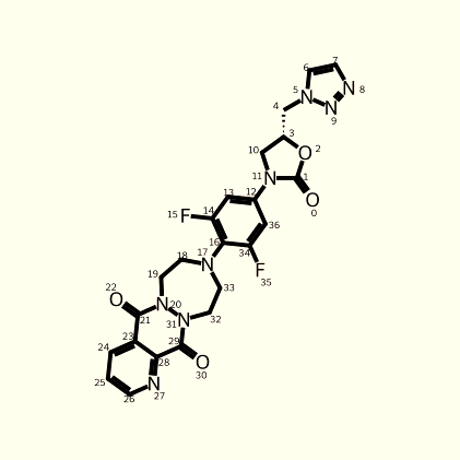 O=C1O[C@@H](Cn2ccnn2)CN1c1cc(F)c(N2CCn3c(=O)c4cccnc4c(=O)n3CC2)c(F)c1